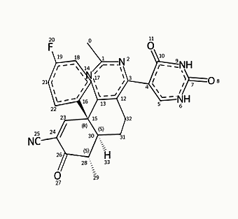 Cc1nc(-c2c[nH]c(=O)[nH]c2=O)c2c(n1)[C@@]1(c3ccc(F)cc3)C=C(C#N)C(=O)[C@@H](C)[C@@H]1CC2